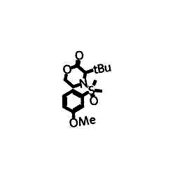 COc1cccc(S(C)(C)(=O)N2CCOC(=O)C2C(C)(C)C)c1